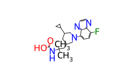 CC(C)(CC1CC(C2CC2)CN(c2ccc(F)c3nccnc23)C1)NC(=O)O